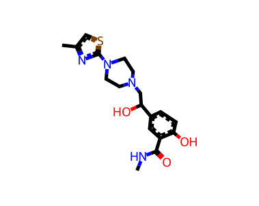 CNC(=O)c1cc(C(O)CN2CCN(c3nc(C)cs3)CC2)ccc1O